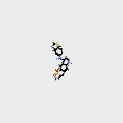 CC(C)C1=Cc2cc3nccc(Nc4ccc5scnc5c4)c3cc2S1(=O)=O